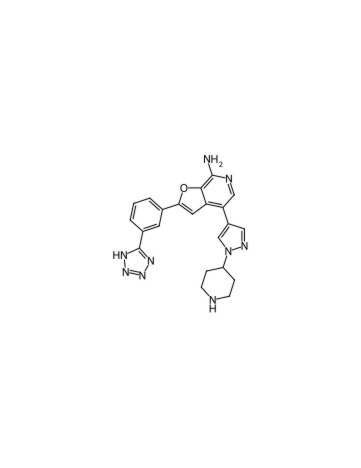 Nc1ncc(-c2cnn(C3CCNCC3)c2)c2cc(-c3cccc(-c4nnn[nH]4)c3)oc12